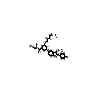 CC(C)CNC(=O)c1cc(OCCCCN)cc(-c2ccc3oc(-c4ccc(F)cc4)c(C=O)c3c2)c1